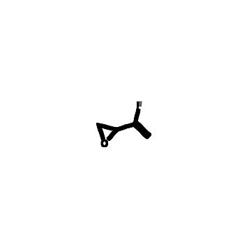 C=C(F)C1CO1